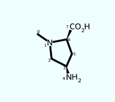 CN1C[C@H](N)C[C@@H]1C(=O)O